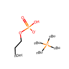 CCCCCCCCCCCCOP(=O)([O-])O.CCCC[P+](CCCC)(CCCC)CCCC